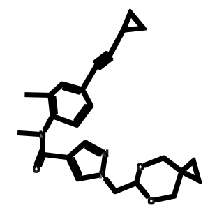 Cc1cc(C#CC2CC2)ccc1N(C)C(=O)c1cnn(CC2OCC3(CC3)CO2)c1